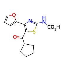 O=C(O)Nc1nc(-c2ccco2)c(C(=O)C2CCCC2)s1